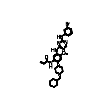 C=CC(=O)Nc1cc(Nc2ncnc(Nc3cccc(Br)c3)n2)c(OC)cc1N1CCN(CC2CCCCC2)CC1